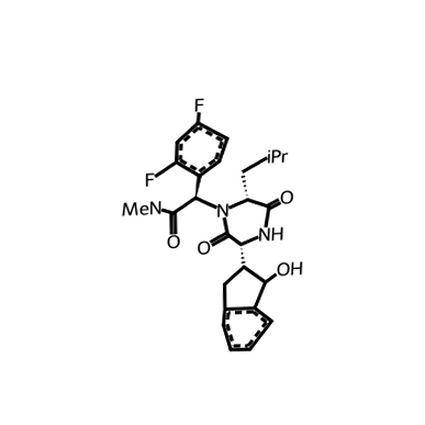 CNC(=O)[C@@H](c1ccc(F)cc1F)N1C(=O)[C@@H](C2Cc3ccccc3C2O)NC(=O)[C@H]1CC(C)C